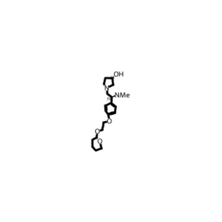 CN[C@H](CN1CC[C@H](O)C1)c1ccc(OCCOC2CCCCO2)cc1